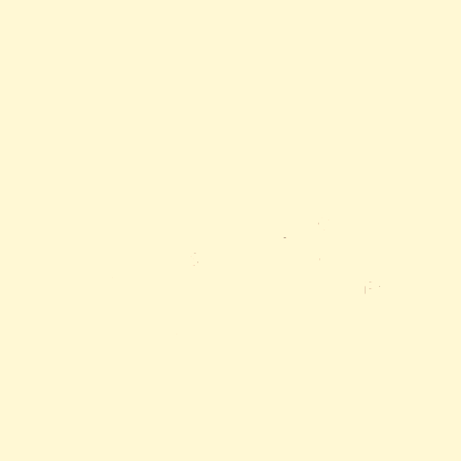 CC(C)C1(C)OC1(CSc1ccccc1)c1ccccc1